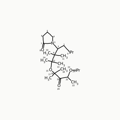 CC(C)CC(N1CCCC1=O)C(C)(C)C(C)(C)OC(C)(C)C(=O)C(C)OC(C)C